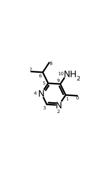 Cc1ncnc(C(C)C)c1N